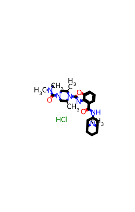 C[C@H]1CN(C(=O)N(C)C)C[C@H](C)N1c1nc2c(C(=O)NC3CC4CCCC(C3)N4C)cccc2o1.Cl